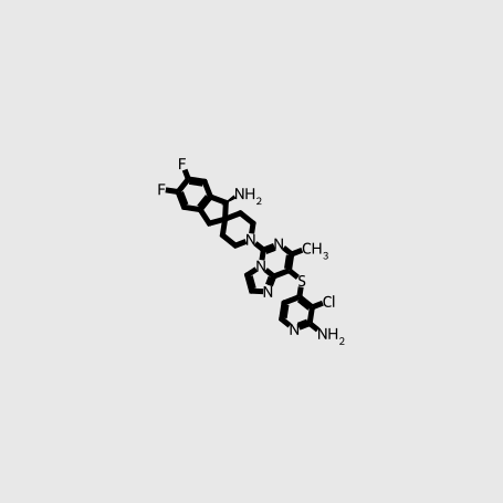 Cc1nc(N2CCC3(CC2)Cc2cc(F)c(F)cc2[C@H]3N)n2ccnc2c1Sc1ccnc(N)c1Cl